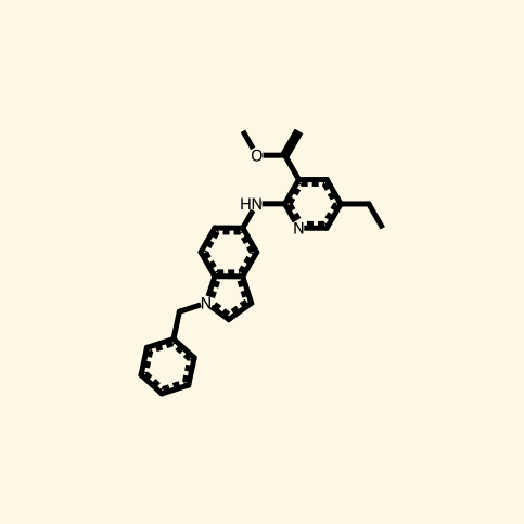 C=C(OC)c1cc(CC)cnc1Nc1ccc2c(ccn2Cc2ccccc2)c1